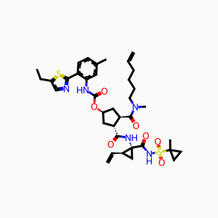 C=CCCCCN(C)C(=O)[C@@H]1C[C@H](OC(=O)Nc2cc(C)ccc2-c2ncc(CC)s2)C[C@H]1C(=O)N[C@]1(C(=O)NS(=O)(=O)C2(C)CC2)C[C@H]1C=C